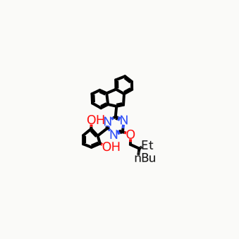 CCCCC(CC)COc1nc(-c2c(O)cccc2O)nc(-c2cc3ccccc3c3ccccc23)n1